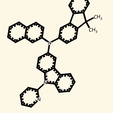 CC1(C)c2ccccc2-c2cc(N(c3ccc4ccccc4c3)c3ccc4c(c3)c3ccccc3n4-c3ccccn3)ccc21